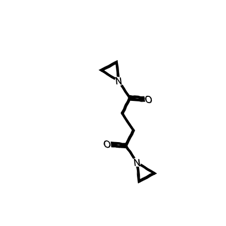 O=C(CCC(=O)N1CC1)N1CC1